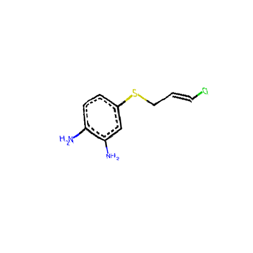 Nc1ccc(SC/C=C/Cl)cc1N